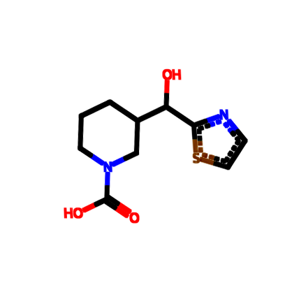 O=C(O)N1CCCC(C(O)c2nccs2)C1